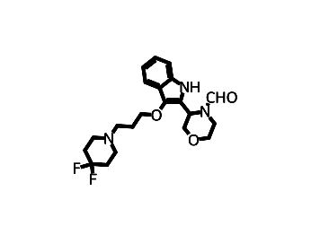 O=CN1CCOCC1c1[nH]c2ccccc2c1OCCCN1CCC(F)(F)CC1